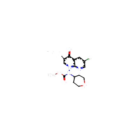 CCOC(=O)c1cn(N(C(=O)OC(C)(C)C)C2CCOCC2)c2ncc(Br)cc2c1=O